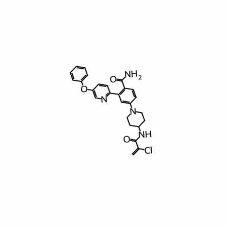 C=C(Cl)C(=O)NC1CCN(c2ccc(C(N)=O)c(-c3ccc(Oc4ccccc4)cn3)c2)CC1